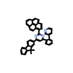 CC1(C)c2ccccc2-c2ccc(-c3cc(-c4ccccc4-c4cccnc4)nc(-c4ccc5ccc6cccc7ccc4c5c67)n3)cc21